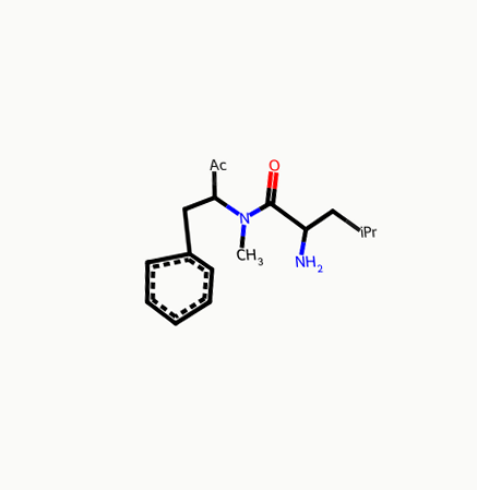 CC(=O)C(Cc1ccccc1)N(C)C(=O)C(N)CC(C)C